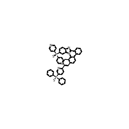 S=P(c1ccccc1)(c1ccccc1)c1ccc(C2=Cc3ccc4c5ccccc5c5nc6ccc(P(=S)(c7ccncc7)c7ccncc7)cc6n5c4c3CC2)nc1